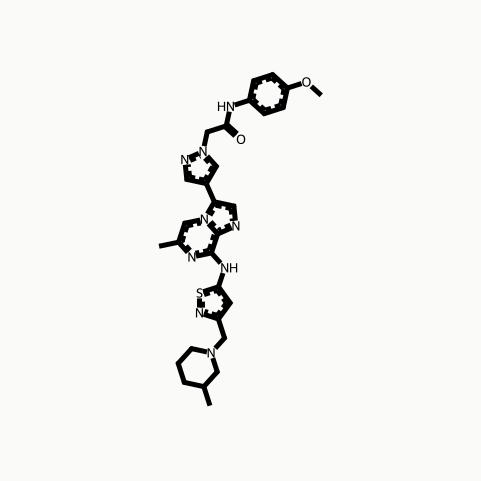 COc1ccc(NC(=O)Cn2cc(-c3cnc4c(Nc5cc(CN6CCCC(C)C6)ns5)nc(C)cn34)cn2)cc1